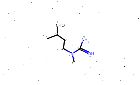 CC(C=O)CCN(C)C(=N)N